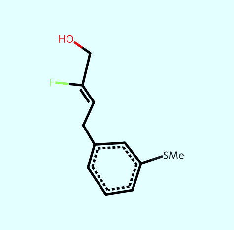 CSc1cccc(CC=C(F)CO)c1